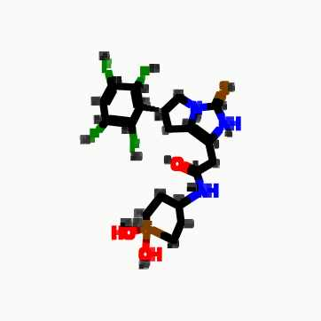 O=C(Cc1[nH]c(=S)n2c1C[C@H](c1c(F)c(F)cc(F)c1F)C2)NC1CCS(O)(O)CC1